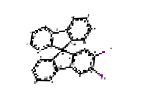 Ic1cc2c(cc1I)C1(c3ccccc3-c3ccccc31)c1ccccc1-2